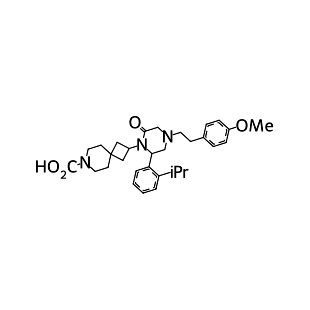 COc1ccc(CCN2CC(=O)N(C3CC4(CCN(C(=O)O)CC4)C3)C(c3ccccc3C(C)C)C2)cc1